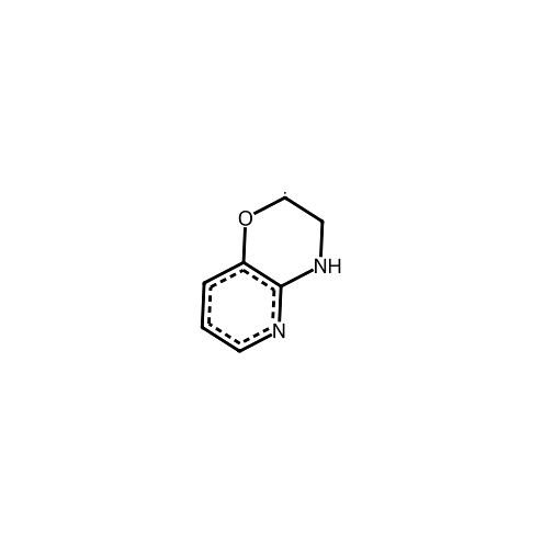 [CH]1CNc2ncccc2O1